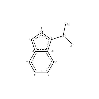 CC(C)c1occ2ccccc12